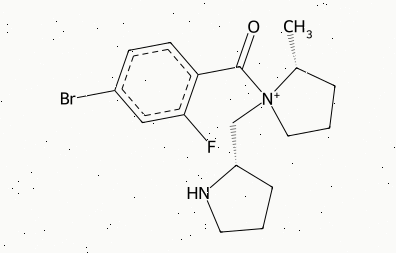 C[C@@H]1CCC[N+]1(C[C@@H]1CCCN1)C(=O)c1ccc(Br)cc1F